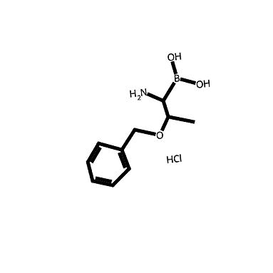 CC(OCc1ccccc1)C(N)B(O)O.Cl